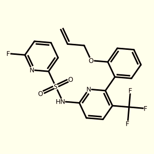 C=CCOc1ccccc1-c1nc(NS(=O)(=O)c2cccc(F)n2)ccc1C(F)(F)F